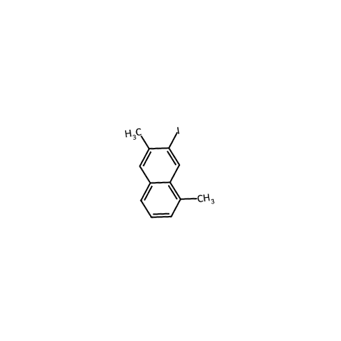 Cc1cc2cccc(C)c2cc1I